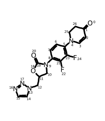 O=C1C=CN(c2ccc(N3CC(Cn4ccnn4)OC3=O)c(F)c2F)CC1